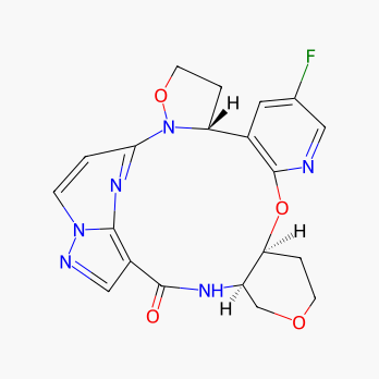 O=C1N[C@@H]2COCC[C@@H]2Oc2ncc(F)cc2[C@H]2CCON2c2ccn3ncc1c3n2